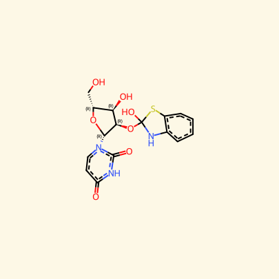 O=c1ccn([C@@H]2O[C@H](CO)[C@@H](O)[C@H]2OC2(O)Nc3ccccc3S2)c(=O)[nH]1